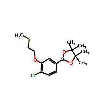 CSCCOc1cc(B2OC(C)(C)C(C)(C)O2)ccc1Cl